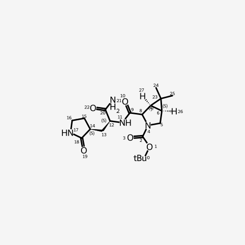 CC(C)(C)OC(=O)N1C[C@H]2[C@@H](C1C(=O)N[C@@H](C[C@@H]1CCNC1=O)C(N)=O)C2(C)C